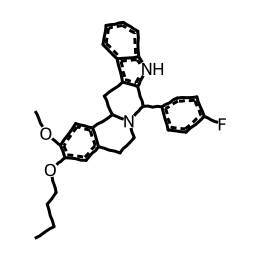 CCCCOc1cc2c(cc1OC)C1Cc3c([nH]c4ccccc34)C(c3ccc(F)cc3)N1CC2